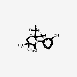 CC1(C)COC(C(F)(F)F)(C(F)(F)F)N(c2cccc(O)c2)C1=O